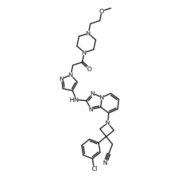 COCCN1CCN(C(=O)Cn2cc(Nc3nc4c(N5CC(CC#N)(c6cccc(Cl)c6)C5)cccn4n3)cn2)CC1